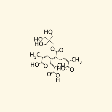 CC(=CCC(C(=O)OCC(CO)(CO)CO)=C(C=C(C)C(=O)O)C=C(C)C(=O)O)C(=O)O